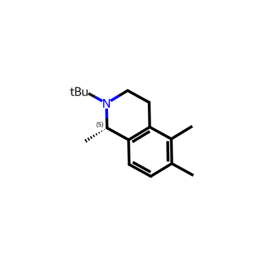 Cc1ccc2c(c1C)CCN(C(C)(C)C)[C@H]2C